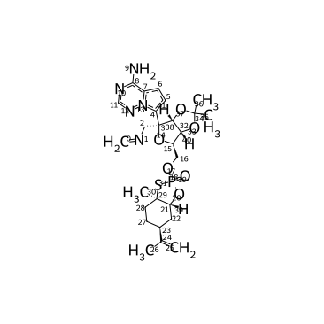 C=NC[C@@]1(c2ccc3c(N)ncnn23)O[C@H](CO[P@@]2(=O)O[C@@H]3C[C@@H](C(=C)C)CC[C@@]3(C)S2)[C@H]2OC(C)(C)O[C@H]21